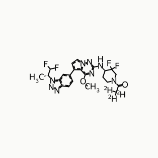 [2H]C([2H])([2H])C(=O)N1CC[C@@H](Nc2nc(OC)c3c(-c4ccc5nnn([C@H](C)C(F)F)c5c4)ccn3n2)C(F)(F)C1